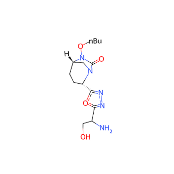 CCCCON1C(=O)N2C[C@@H]1CC[C@H]2c1nnc(C(N)CO)o1